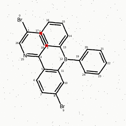 Brc1ccc(-c2ccc(Br)cc2B(c2ccccc2)c2ccccc2)nc1